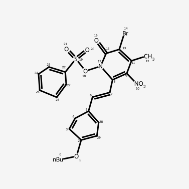 CCCCOc1ccc(C=Cc2c([N+](=O)[O-])c(C)c(Br)c(=O)n2OS(=O)(=O)c2ccccc2)cc1